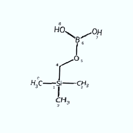 C[Si](C)(C)COB(O)O